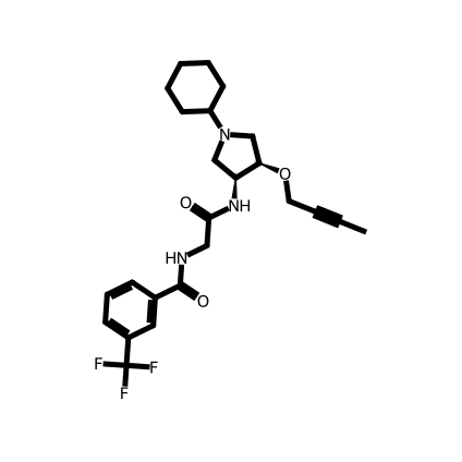 CC#CCO[C@@H]1CN(C2CCCCC2)C[C@@H]1NC(=O)CNC(=O)c1cccc(C(F)(F)F)c1